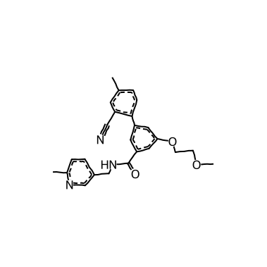 COCCOc1cc(C(=O)NCc2ccc(C)nc2)cc(-c2ccc(C)cc2C#N)c1